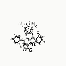 CC1(C)COC2(CC[C@@H](C(=O)N3C(=O)OC[C@H]3Cc3ccccc3)[C@@H](c3ccccc3F)C2)OC1